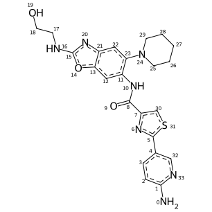 Nc1ccc(-c2nc(C(=O)Nc3cc4oc(NCCO)nc4cc3N3CCCCC3)cs2)cn1